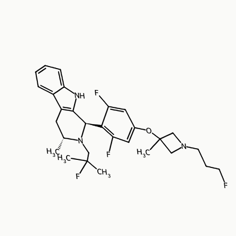 C[C@@H]1Cc2c([nH]c3ccccc23)[C@@H](c2c(F)cc(OC3(C)CN(CCCF)C3)cc2F)N1CC(C)(C)F